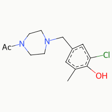 CC(=O)N1CCN(Cc2cc(C)c(O)c(Cl)c2)CC1